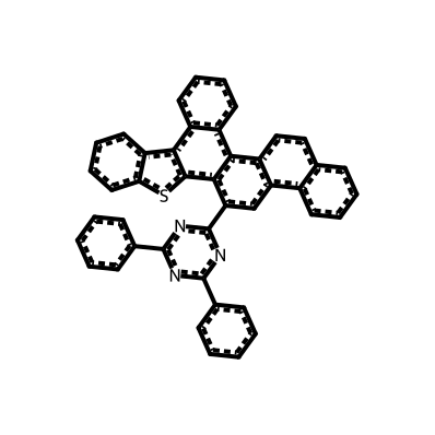 c1ccc(-c2nc(-c3ccccc3)nc(-c3cc4c5ccccc5ccc4c4c5ccccc5c5c6ccccc6sc5c34)n2)cc1